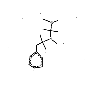 CN(C)C(C)(C)N(C)C(C)(C)Cc1ccccc1